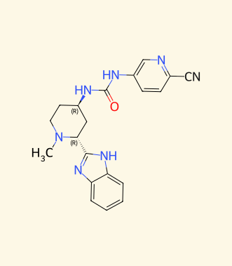 CN1CC[C@@H](NC(=O)Nc2ccc(C#N)nc2)C[C@@H]1c1nc2ccccc2[nH]1